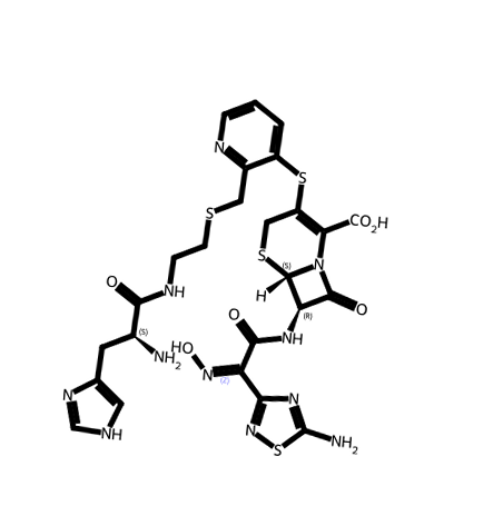 Nc1nc(/C(=N/O)C(=O)N[C@@H]2C(=O)N3C(C(=O)O)=C(Sc4cccnc4CSCCNC(=O)[C@@H](N)Cc4c[nH]cn4)CS[C@@H]23)ns1